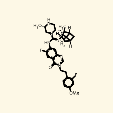 COc1ccc(CCn2cnc3cc(NC(=N[C@H]4C[C@H]5C[C@@H]([C@@H]4C)C5(C)C)N4CCN[C@@H](C)C4)c(F)cc3c2=O)c(F)c1